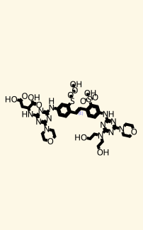 O=C(O)CC(Nc1nc(Nc2ccc(/C=C/c3ccc(Nc4nc(N(CCO)CCO)nc(N5CCOCC5)n4)cc3S(=O)(=O)O)c(SOOO)c2)nc(N2CCOCC2)n1)C(=O)O